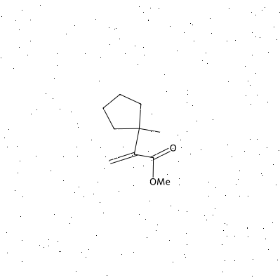 C=C(C(=O)OC)C1(C)CCCC1